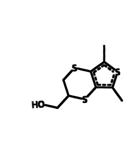 Cc1sc(C)c2c1SCC(CO)S2